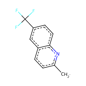 [CH2]c1ccc2cc(C(F)(F)F)ccc2n1